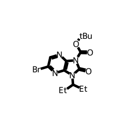 CCC(CC)n1c(=O)n(C(=O)OC(C)(C)C)c2ncc(Br)nc21